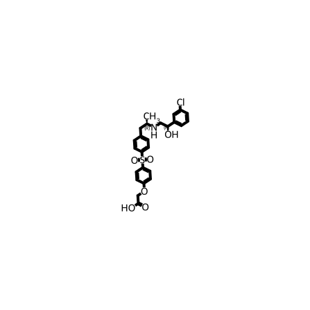 C[C@H](Cc1ccc(S(=O)(=O)c2ccc(OCC(=O)O)cc2)cc1)NC[C@H](O)c1cccc(Cl)c1